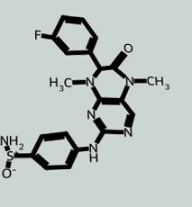 CN1C(=O)C(c2cccc(F)c2)N(C)c2nc(Nc3ccc([S+](N)[O-])cc3)ncc21